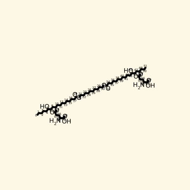 CCCCCC(O)C(CCCCCCCCCCC(=O)OCCCCCCCCCCOC(=O)CCCCCCCCCCC(O)C(CCCCC)OC(=O)CC[C@@H](N)C(=O)O)OC(=O)CC[C@H](N)C(=O)O